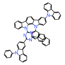 c1ccc(-c2cccc(-n3c4ccc(-n5c6ccccc6c6ccccc65)cc4c4ccc5c6ccccc6n(-c6nc(-c7ccccc7)nc(-c7ccc8c(c7)c7ccccc7n8-c7ccccc7)n6)c5c43)c2)cc1